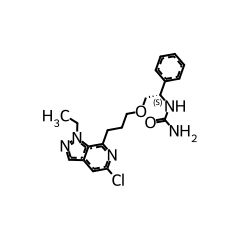 CCn1ncc2cc(Cl)nc(CCCOC[C@@H](NC(N)=O)c3ccccc3)c21